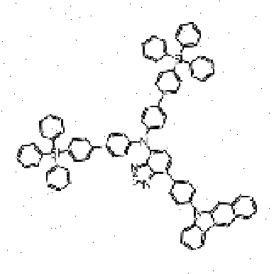 c1ccc([Si](c2ccccc2)(c2ccccc2)c2ccc(-c3ccc(N(c4ccc(-c5ccc([Si](c6ccccc6)(c6ccccc6)c6ccccc6)cc5)cc4)c4ccc(-c5ccc(-n6c7ccccc7c7cc8ccccc8cc76)cc5)c5nsnc45)cc3)cc2)cc1